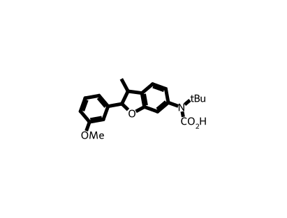 COc1cccc(C2Oc3cc(N(C(=O)O)C(C)(C)C)ccc3C2C)c1